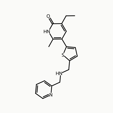 CCc1cc(-c2ccc(CNCc3ccccn3)s2)c(C)[nH]c1=O